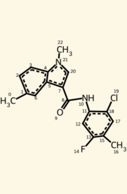 Cc1ccc2c(c1)c(C(=O)Nc1cc(F)c(C)cc1Cl)cn2C